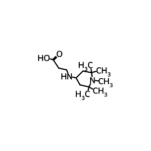 CN1C(C)(C)CC(NCCC(=O)O)CC1(C)C